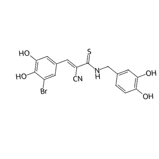 N#C/C(=C\c1cc(O)c(O)c(Br)c1)C(=S)NCc1ccc(O)c(O)c1